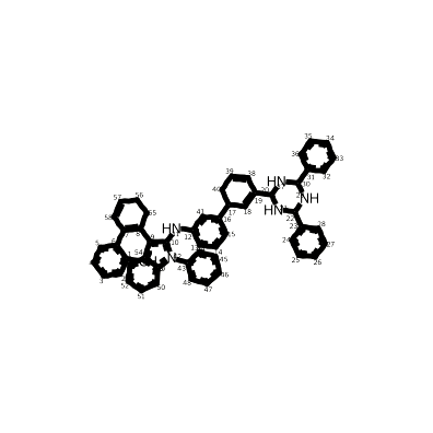 Cc1ccccc1C1=C(c2c(Nc3cccc(C4C=C(C5NC(c6ccccc6)NC(c6ccccc6)N5)C=CC4)c3)n(-c3ccccc3)c3ccccc23)CCC=C1